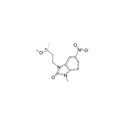 CO[C@H](C)CCn1c(=O)n(C)c2ccc([N+](=O)[O-])cc21